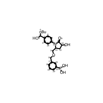 CCCCC(O)c1ccc(N2C(=O)C(O)CC2COCc2cccc(P(O)O)c2)cc1